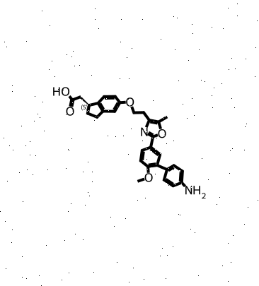 COc1ccc(-c2nc(CCOc3ccc4c(c3)CC[C@H]4CC(=O)O)c(C)o2)cc1-c1ccc(N)cc1